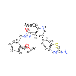 COc1ncc(-c2ccc3nc(N)sc3c2)cc1C(=O)NCc1ccccc1OC(C)C